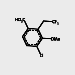 COc1c(Cl)ccc(C(=O)O)c1CC(F)(F)F